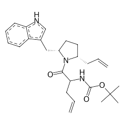 C=CCC(NC(=O)OC(C)(C)C)C(=O)N1[C@@H](CC=C)CC[C@H]1Cc1c[nH]c2ccccc12